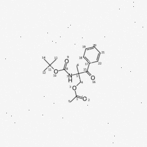 CC(=O)OCC(C)(NC(=O)OC(C)(C)C)C(=O)c1ccccc1